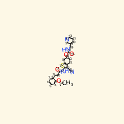 CCOc1ccccc1/C=C/C(=O)Nc1sc2c(c1C#N)CCC(OC(=O)NCc1cccnc1)C2